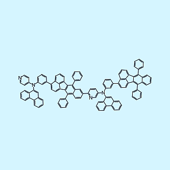 c1ccc(-c2c3c(c(-c4ccccc4)c4ccccc24)-c2ccc(-c4cccc(N(c5ccc(-c6ccc7c(-c8ccccc8)c8c(c(-c9ccccc9)c7c6)-c6cccc7c(-c9cccc(N(c%10ccncc%10)c%10cc%11ccccc%11c%11ccccc%10%11)c9)ccc-8c67)nc5)c5cc6ccccc6c6ccccc56)c4)c4cccc-3c24)cc1